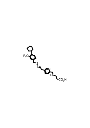 O=C(O)CCNCc1ccc(CC=NOCc2ccc(C3CCCCC3)c(C(F)(F)F)c2)cn1